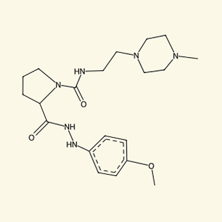 COc1ccc(NNC(=O)C2CCCN2C(=O)NCCN2CCN(C)CC2)cc1